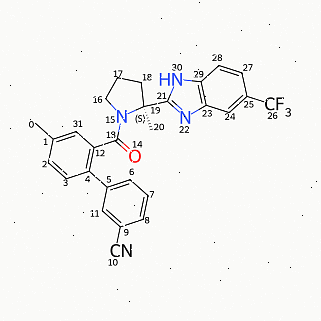 Cc1ccc(-c2cccc(C#N)c2)c(C(=O)N2CCC[C@@]2(C)c2nc3cc(C(F)(F)F)ccc3[nH]2)c1